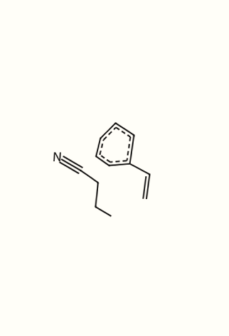 C=Cc1ccccc1.CCCC#N